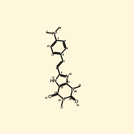 CN(C)c1ccc(C=Cc2nc3c([nH]2)c(=O)n(C)c(=O)n3C)cc1